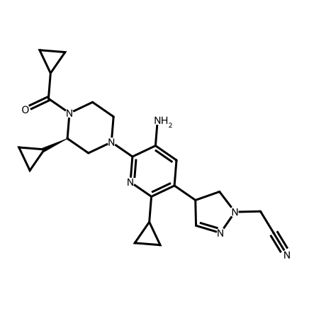 N#CCN1CC(c2cc(N)c(N3CCN(C(=O)C4CC4)[C@H](C4CC4)C3)nc2C2CC2)C=N1